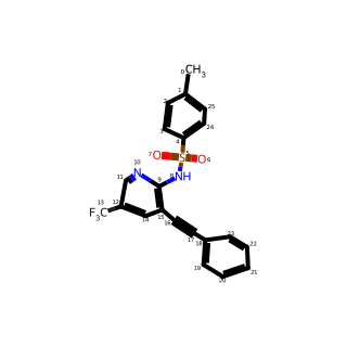 Cc1ccc(S(=O)(=O)Nc2ncc(C(F)(F)F)cc2C#Cc2ccccc2)cc1